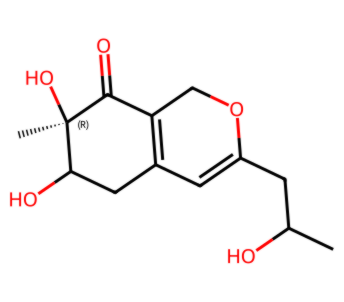 CC(O)CC1=CC2=C(CO1)C(=O)[C@](C)(O)C(O)C2